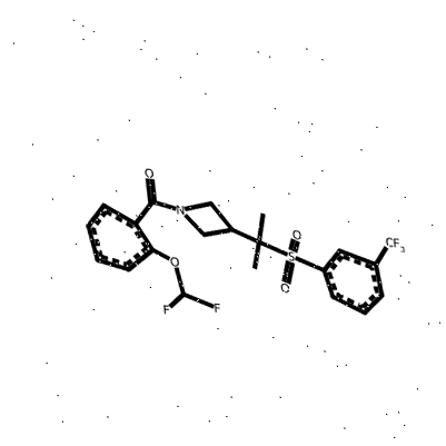 CC(C)(C1CN(C(=O)c2ccccc2OC(F)F)C1)S(=O)(=O)c1cccc(C(F)(F)F)c1